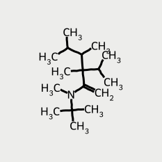 C=C(N(C)C(C)(C)C)C(C)(C(C)C)C(C)C(C)C